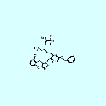 NCCCCC(NC(=O)OCc1ccccc1)C(=O)Cn1nnnc1Sc1c(Cl)cccc1Cl.O=C(O)C(F)(F)F